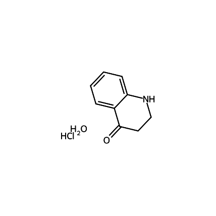 Cl.O.O=C1CCNc2ccccc21